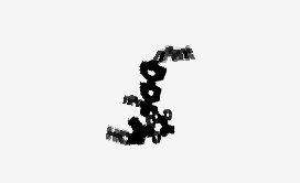 C=C(C)C(=O)OCC(CCC)(COC(=O)C(=C)CO)C1CCC(C2CCC(CCCCC)CC2)CC1